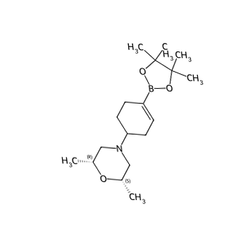 C[C@@H]1CN(C2CC=C(B3OC(C)(C)C(C)(C)O3)CC2)C[C@H](C)O1